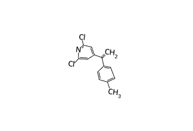 C=C(c1ccc(C)cc1)c1cc(Cl)nc(Cl)c1